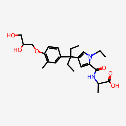 CCn1cc(C(CC)(CC)c2ccc(OCC(O)CO)c(C)c2)cc1C(=O)NC(C)C(=O)O